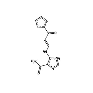 NC(=O)c1nc[nH]c1N/C=C/C(=O)c1cccs1